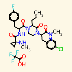 CCCC1C(=O)N(C(Cc2ccc(Cl)cc2)C(=O)NC)CCN1C(=O)C(Cc1ccc(F)cc1)NC(=O)C1(NC)CC1.O=C(O)C(F)(F)F